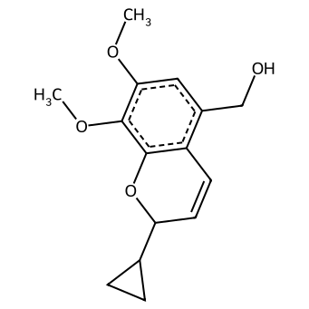 COc1cc(CO)c2c(c1OC)OC(C1CC1)C=C2